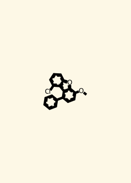 COc1ccc(-c2ccccc2)c2c1oc1cccc(Cl)c12